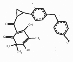 CC1=C(O)C(C)(C)C(=O)C(C(=O)C2CC2c2ccc(Cc3ccc(F)cc3)cc2)=C1O